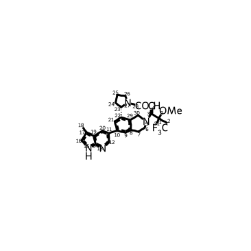 COC(C)(C(=O)N1CCc2cc(-c3cnc4[nH]cc(C)c4c3)cc([C@@H]3CCCN3C(=O)O)c2C1)C(F)(F)F